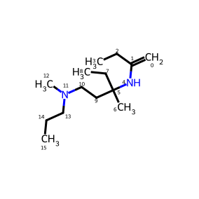 C=C(CC)NC(C)(CC)CCN(C)CCC